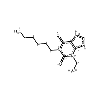 CCCCCCn1c(=O)c2[nH]cnc2n(CC)c1=O